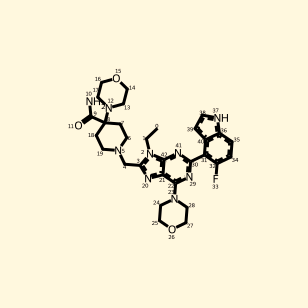 CCn1c(CN2CCC(C(N)=O)(N3CCOCC3)CC2)nc2c(N3CCOCC3)nc(-c3c(F)ccc4[nH]ccc34)nc21